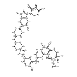 Cn1nc(C2CCC(=O)NC2=O)c2cc(F)c(N3CCN(CC4CCC5(CC4)CN(c4ncc(Cl)c(Nc6ccc7c(c6)c6c(c(=O)n7C)OCC(F)(F)[C@H](C7CC7)N6)n4)C5)CC3)cc21